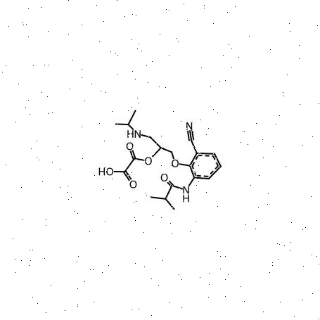 CC(C)NCC(COc1c(C#N)cccc1NC(=O)C(C)C)OC(=O)C(=O)O